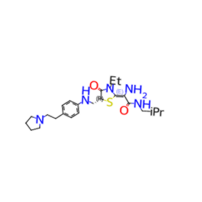 CCN1C(=O)[C@@H](CNc2ccc(CCN3CCCC3)cc2)S/C1=C(/N)C(=O)NCC(C)C